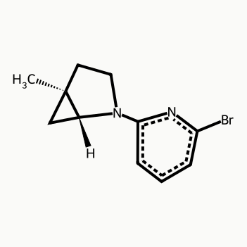 C[C@]12CCN(c3cccc(Br)n3)[C@@H]1C2